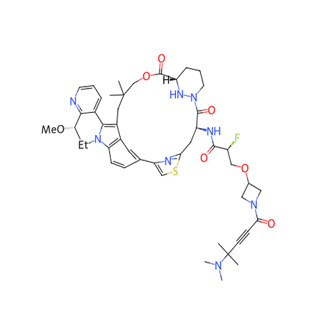 CCn1c(-c2cccnc2[C@H](C)OC)c2c3cc(ccc31)-c1csc(n1)C[C@H](NC(=O)[C@@H](F)COC1CN(C(=O)C#CC(C)(C)N(C)C)C1)C(=O)N1CCC[C@H](N1)C(=O)OCC(C)(C)C2